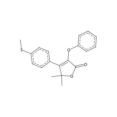 CSc1ccc(C2=C(Oc3ccccc3)C(=O)OC2(C)C)cc1